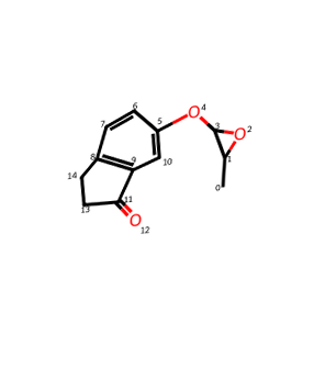 CC1OC1Oc1ccc2c(c1)C(=O)CC2